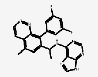 Cc1cc(C(C)Nc2ncnc3[nH]cnc23)c(-c2cc(F)cc(F)c2)c2nnccc12